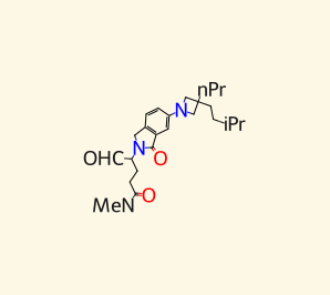 CCCC1(CCC(C)C)CN(c2ccc3c(c2)C(=O)N(C(C=O)CCC(=O)NC)C3)C1